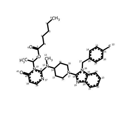 CCCCCC(=O)OC(C)n1c(N(C)C2CCN(c3nc4ccccc4n3Cc3ccc(F)cc3)CC2)nccc1=O